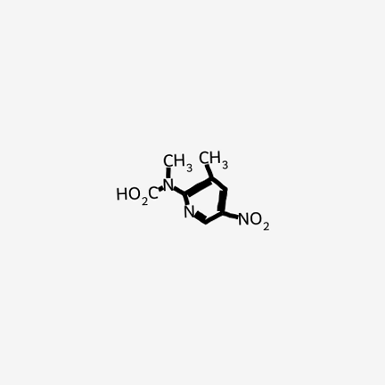 Cc1cc([N+](=O)[O-])cnc1N(C)C(=O)O